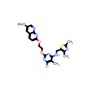 COc1cnc2nc(OCCOc3nc(Cl)c(C)c(NCc4sc(C)nc4C)n3)ccc2c1